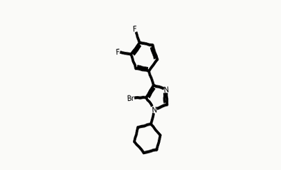 Fc1ccc(-c2ncn(C3CCCCC3)c2Br)cc1F